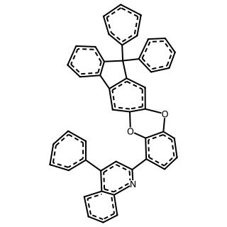 c1ccc(-c2cc(-c3cccc4c3Oc3cc5c(cc3O4)C(c3ccccc3)(c3ccccc3)c3ccccc3-5)nc3ccccc23)cc1